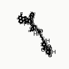 C#Cc1c(F)ccc2cccc(-c3ncc4c(N5CC6CCC(C5)N6)nc(OC[C@@]56CC[C@@H](COC(=O)NCCCCNc7ccc8c(c7)C(=O)N(C7CCC(=O)NC7=O)C8=O)N5CC(=C)C6)nc4c3F)c12